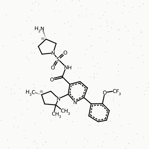 C[C@@H]1CN(c2nc(-c3ccccc3OC(F)(F)F)ccc2C(=O)NS(=O)(=O)N2CC[C@H](N)C2)C(C)(C)C1